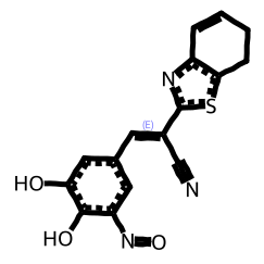 N#C/C(=C\c1cc(O)c(O)c(N=O)c1)c1nc2c(s1)CCC=C2